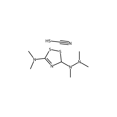 CN(C)C1=NC(N(C)N(C)C)SS1.N#CS